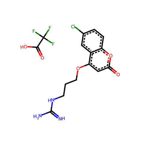 N=C(N)NCCCOc1cc(=O)oc2ccc(Cl)cc12.O=C(O)C(F)(F)F